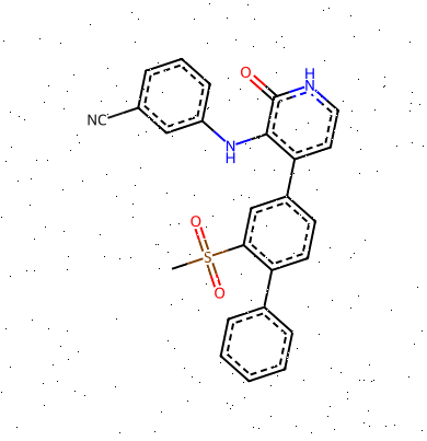 CS(=O)(=O)c1cc(-c2cc[nH]c(=O)c2Nc2cccc(C#N)c2)ccc1-c1ccccc1